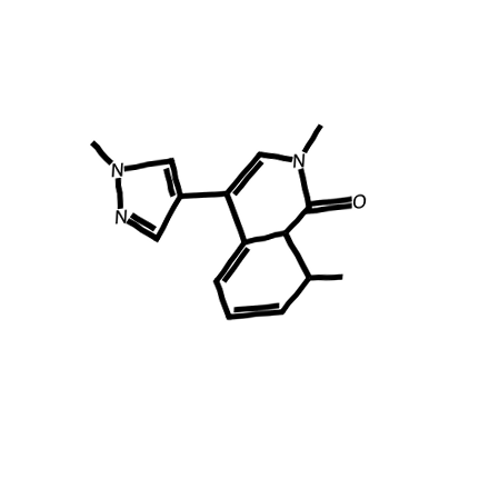 CC1C=CC=C2C(c3cnn(C)c3)=CN(C)C(=O)C21